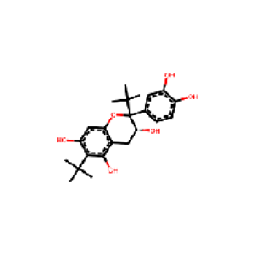 CC(C)(C)c1c(O)cc2c(c1O)C[C@H](O)[C@](c1ccc(O)c(O)c1)(C(C)(C)C)O2